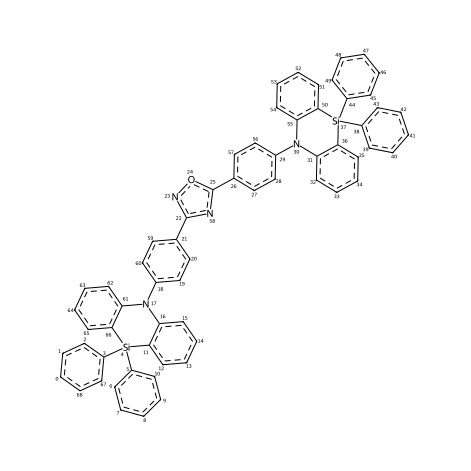 c1ccc([Si]2(c3ccccc3)c3ccccc3N(c3ccc(-c4noc(-c5ccc(N6c7ccccc7[Si](c7ccccc7)(c7ccccc7)c7ccccc76)cc5)n4)cc3)c3ccccc32)cc1